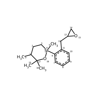 CC1CC[Si](C)(c2ccccc2CC2CO2)OC1(C)C